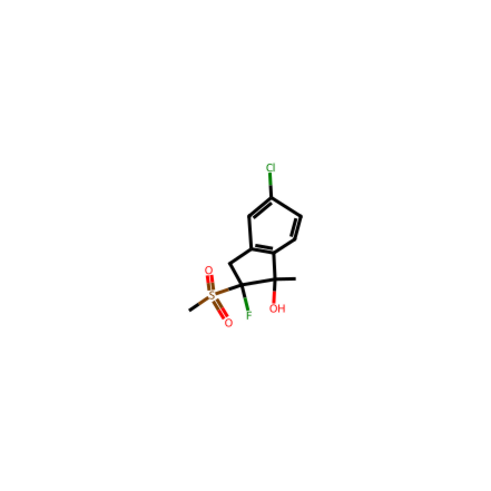 CC1(O)c2ccc(Cl)cc2CC1(F)S(C)(=O)=O